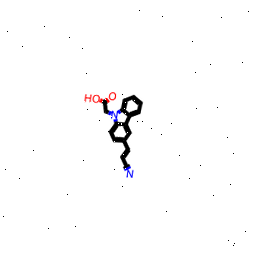 N#C/C=C/c1ccc2c(c1)c1ccccc1n2CC(=O)O